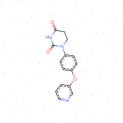 O=C1CCN(c2ccc(Oc3cccnc3)cc2)C(=O)N1